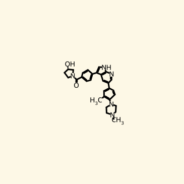 Cc1cc(-c2cnc3[nH]cc(-c4ccc(C(=O)N5CC[C@@H](O)C5)cc4)c3c2)ccc1N1CCN(C)CC1